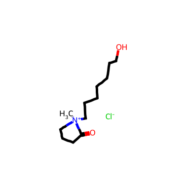 C[N+]1(CCCCCCCO)CCCC1=O.[Cl-]